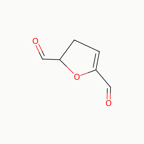 O=CC1=CCC(C=O)O1